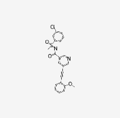 COc1ccccc1C#Cc1cncc(C(=O)N=S(C)(=O)c2cccc(Cl)c2)c1